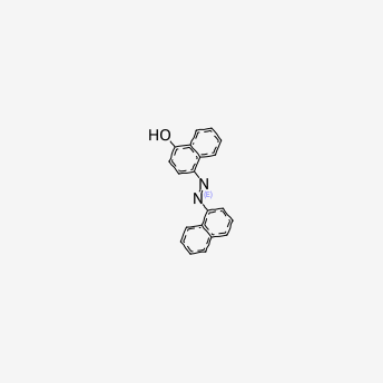 Oc1ccc(/N=N/c2cccc3ccccc23)c2ccccc12